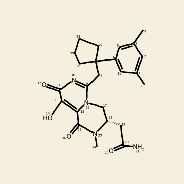 Cc1cc(C)cc(C2(Cc3nc(=O)c(O)c4n3C[C@H](CC(N)=O)N(C)C4=O)CCCC2)c1